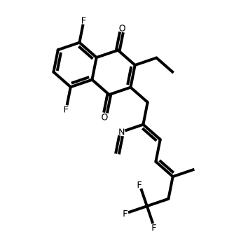 C=N/C(=C\C=C(/C)CC(F)(F)F)CC1=C(CC)C(=O)c2c(F)ccc(F)c2C1=O